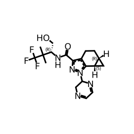 CC(C)([C@H](CO)NC(=O)c1nn(C2CN=CC=N2)c2c1CC[C@@H]1C[C@H]21)C(F)(F)F